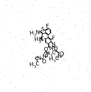 Cc1cc2c(OC3CCN(C(=O)N4CCC4C)C3)nc(O[C@@H](C)[C@@H]3CCCN3C)nc2c(F)c1-c1ccc(F)c2sc(N)c(C#N)c12